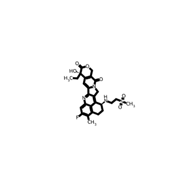 CC[C@@]1(O)C(=O)OCc2c1cc1n(c2=O)Cc2c-1nc1cc(F)c(C)c3c1c2[C@@H](NCCS(C)(=O)=O)CC3